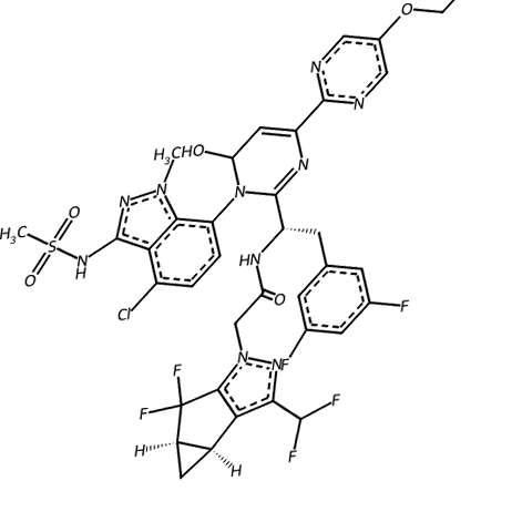 CCOc1cnc(C2=CC(O)N(c3ccc(Cl)c4c(NS(C)(=O)=O)nn(C)c34)C([C@H](Cc3cc(F)cc(F)c3)NC(=O)Cn3nc(C(F)F)c4c3C(F)(F)[C@@H]3C[C@H]43)=N2)nc1